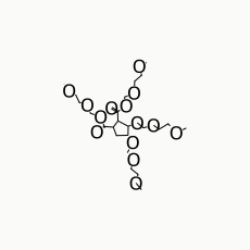 COCCOCOC(=O)C1CC(OCOCCOC)C(OCOCCOC)C1C(=O)OCOCCOC